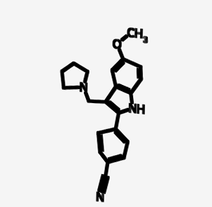 COc1ccc2[nH]c(-c3ccc(C#N)cc3)c(CN3CCCC3)c2c1